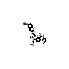 CN(C)CC[C@@H](NC(=O)c1nc2cc3c(nc2s1)CC[C@H](C(C)(C)C)C3)c1cccc(C(=O)N(C)C2CCN(C)C2)c1